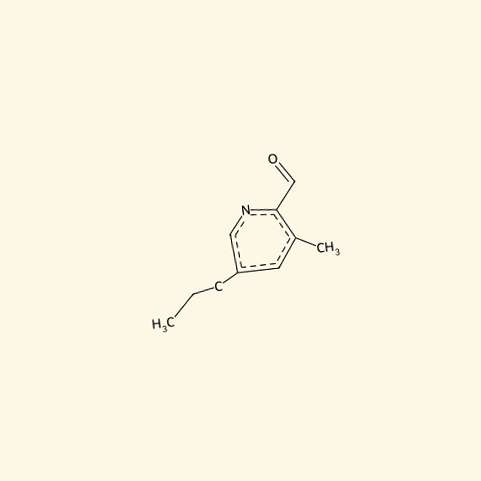 CCCc1cnc(C=O)c(C)c1